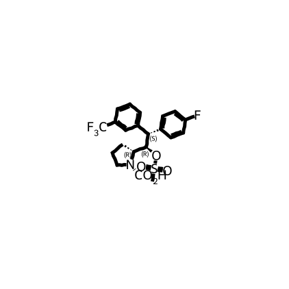 CS(=O)(=O)O[C@H]([C@@H](c1ccc(F)cc1)c1cccc(C(F)(F)F)c1)[C@H]1CCCN1C(=O)O